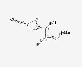 CN/C=C(/Br)C(=N)N1CC(OC)C1